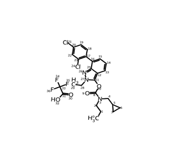 CCCN(CC1CC1)C(=O)Oc1c2cccc(-c3ccc(Cl)cc3Cl)c2nn1CC.O=C(O)C(F)(F)F